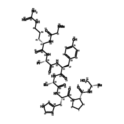 CCC(C)[C@H](NC(=O)[C@@H]1CCCN1C(=O)[C@H](Cc1c[nH]cn1)NC(=O)[C@@H](NC(=O)[C@H](Cc1ccc(O)cc1)NC(=O)[C@@H](NC(=O)[C@H](CCCNC(=N)N)NC(=O)CNC)C(C)C)C(C)CC)C(=O)O